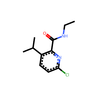 CCNC(=O)c1nc(Cl)ccc1C(C)C